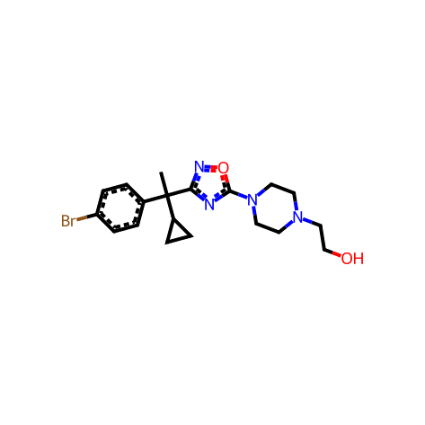 CC(c1ccc(Br)cc1)(c1noc(N2CCN(CCO)CC2)n1)C1CC1